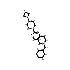 c1nc(N2CCN(C3CCC3)CC2)nc2c1CN(CC1CCCCC1)CC2